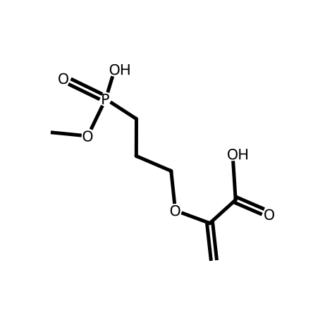 C=C(OCCCP(=O)(O)OC)C(=O)O